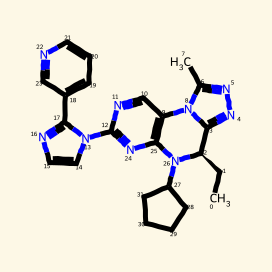 CC[C@@H]1c2nnc(C)n2-c2cnc(-n3ccnc3-c3cccnc3)nc2N1C1CCCC1